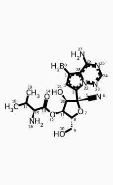 Bc1cc([C@]2(C#N)O[C@H](CO)[C@@H](OC(=O)[C@@H](N)C(C)C)[C@H]2O)n2ncnc(N)c12